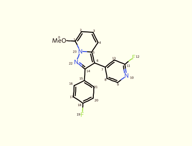 COc1cccc2c(-c3ccnc(F)c3)c(-c3ccc(F)cc3)nn12